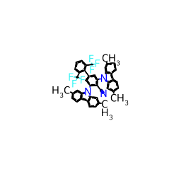 Cc1ccc2c3ccc(C)cc3n(-c3cc(-c4c(C(F)(F)F)cccc4C(F)(F)F)cc(-n4c5cc(C)ccc5c5ccc(C)cc54)c3C#N)c2c1